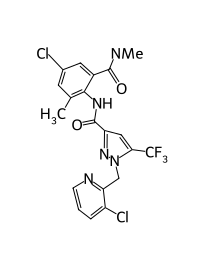 CNC(=O)c1cc(Cl)cc(C)c1NC(=O)c1cc(C(F)(F)F)n(Cc2ncccc2Cl)n1